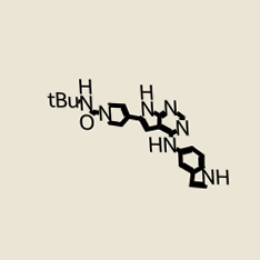 CC(C)(C)NC(=O)N1CC=C(c2cc3c(Nc4ccc5[nH]ccc5c4)ncnc3[nH]2)CC1